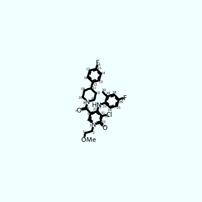 COCCn1cc(C(=O)N2CCC(c3ccc(F)cc3)CC2)c(Nc2ccc(F)cc2C)c(Cl)c1=O